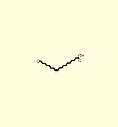 O=C(O)CCCCCCCCC/C=C\CCCCCCCO